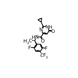 C[C@@H](NC(=O)c1cc(=O)[nH]c(C2CC2)n1)c1cc(F)c(C(F)(F)F)cc1F